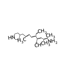 C#CC(=C\C(C)=C(/C)N)/C(C=C)=C/C=C(\C)CC1CCNCC1